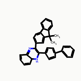 CC1(C)c2ccccc2-c2ccc(C3=C(c4ccc(-c5ccccc5)cc4)NC4C=CC=CC4=N3)cc21